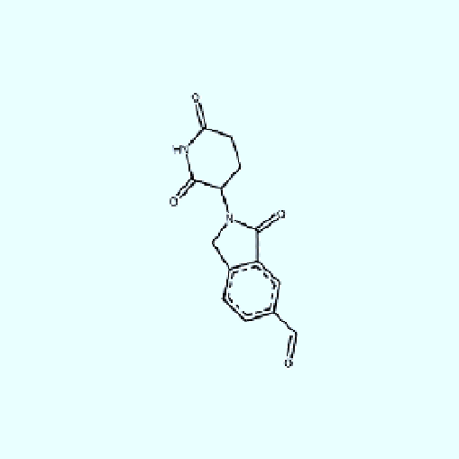 O=Cc1ccc2c(c1)C(=O)N(C1CCC(=O)NC1=O)C2